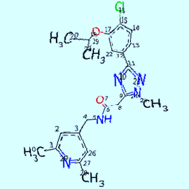 Cc1cc(CNC(=O)Cc2nc(-c3ccc(Cl)c(OC(C)C)c3)nn2C)cc(C)n1